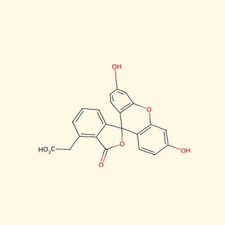 O=C(O)Cc1cccc2c1C(=O)OC21c2ccc(O)cc2Oc2cc(O)ccc21